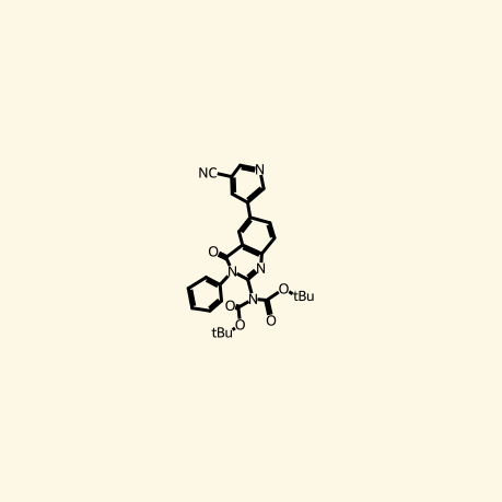 CC(C)(C)OC(=O)N(C(=O)OC(C)(C)C)c1nc2ccc(-c3cncc(C#N)c3)cc2c(=O)n1-c1ccccc1